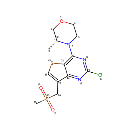 C[C@@H]1COCCN1c1nc(Cl)nc2c(CS(C)(=O)=O)csc12